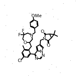 COc1ccc(CN2CC(Cc3c(C)cc(Cl)cc3-c3ncnn4cc(CN5C(=O)C6C(C5=O)C6(C)C)cc34)OCC(F)(F)C2)cc1